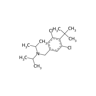 CC(C)N(Cc1cc(Cl)c(C(C)(C)C)c(Cl)c1)C(C)C